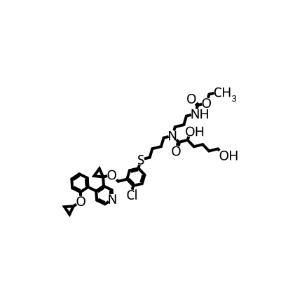 CCOC(=O)NCCCN(CCCCSc1ccc(Cl)c(COC2(c3cnccc3-c3ccccc3OC3CC3)CC2)c1)C(=O)C(O)CCCCO